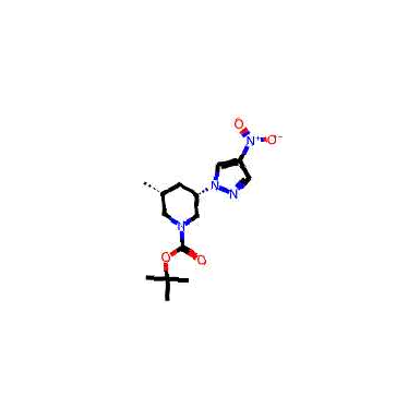 C[C@@H]1C[C@H](n2cc([N+](=O)[O-])cn2)CN(C(=O)OC(C)(C)C)C1